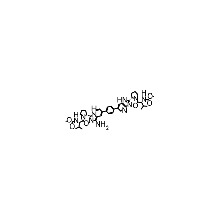 C=C/C(=C\c1[nH]c([C@@H]2CCCN2C(=O)[C@@H](NC(=O)OC)C(C)C)nc1N)c1ccc(-c2cnc3nc([C@@H]4CCCN4C(=O)[C@@H](NC(=O)OC)C(C)C)[nH]c3c2)cc1